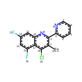 CCc1c(-c2ccccn2)nc2cc(F)cc(F)c2c1Cl